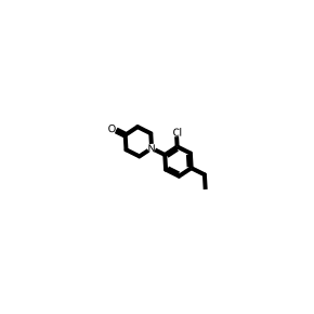 CCc1ccc(N2CCC(=O)CC2)c(Cl)c1